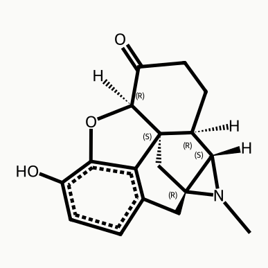 CN1[C@H]2[C@@H]3CCC(=O)[C@@H]4Oc5c(O)ccc6c5[C@@]43C[C@]21C6